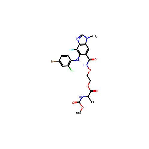 CC(C)C(NC(=O)OC(C)(C)C)C(=O)OCCONC(=O)c1cc2c(ncn2C)c(F)c1Nc1ccc(Br)cc1Cl